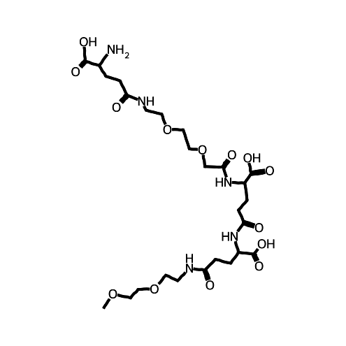 COCCOCCNC(=O)CCC(NC(=O)CCC(NC(=O)COCCOCCNC(=O)CCC(N)C(=O)O)C(=O)O)C(=O)O